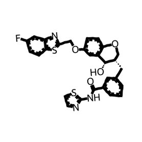 O=C(Nc1nccs1)c1cccc(C[C@H]2COc3ccc(OCc4nc5cc(F)ccc5s4)cc3[C@H]2O)c1